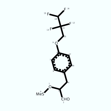 CSOC(C=O)Cc1ccc(OCC(F)(F)C(F)F)cc1